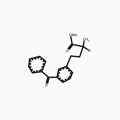 COC(=O)C(C)(Br)CCc1cccc(C(=O)c2ccccc2)c1